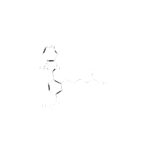 COc1ccc(-c2nc3cnccc3[nH]2)c(OCCC[S+](C)[O-])c1